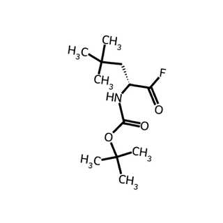 CC(C)(C)C[C@@H](NC(=O)OC(C)(C)C)C(=O)F